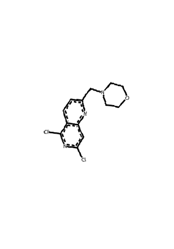 Clc1cc2nc(CN3CCOCC3)ccc2c(Cl)n1